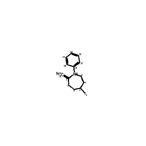 C=C1CCC(I)CCN1c1ccccc1